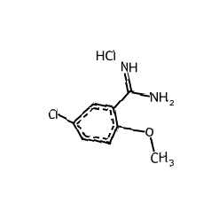 COc1ccc(Cl)cc1C(=N)N.Cl